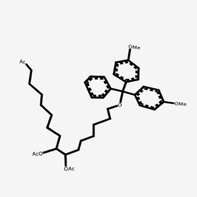 COc1ccc(C(OCCCCCCC(OC(C)=O)C(CCCCCCCC(C)=O)OC(C)=O)(c2ccccc2)c2ccc(OC)cc2)cc1